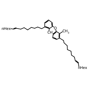 CCCCCCC=CCCCCCCCc1cccc(Oc2cccc(CCCCCCCC=CCCCCCC)c2C)c1C